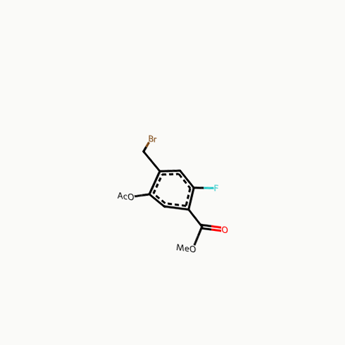 COC(=O)c1cc(OC(C)=O)c(CBr)cc1F